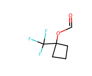 O=COC1(C(F)(F)F)CCC1